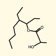 CCCCC(CC)C(CC)OC(=O)C(C)O